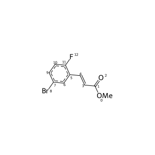 COC(=O)C=Cc1cc(Br)ccc1F